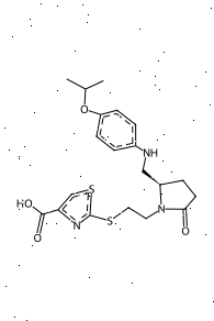 CC(C)Oc1ccc(NC[C@H]2CCC(=O)N2CCSc2nc(C(=O)O)cs2)cc1